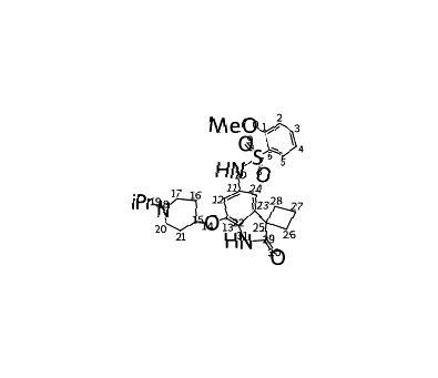 COc1ccccc1S(=O)(=O)Nc1cc(OC2CCN(C(C)C)CC2)c2c(c1)C1(CCC1)C(=O)N2